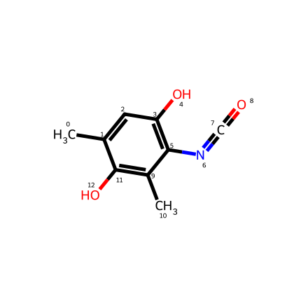 Cc1cc(O)c(N=C=O)c(C)c1O